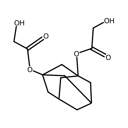 O=C(CO)OC12CC3CC(C1)CC(OC(=O)CO)(C3)C2